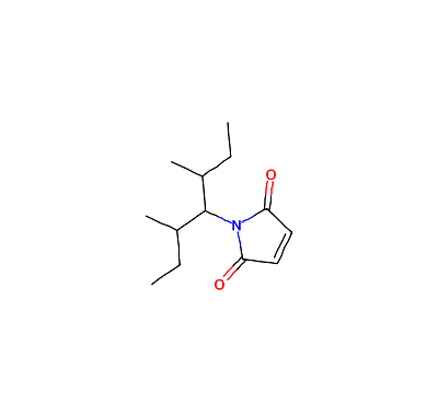 CCC(C)C(C(C)CC)N1C(=O)C=CC1=O